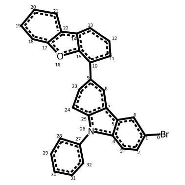 Brc1ccc2c(c1)c1cc(-c3cccc4c3oc3ccccc34)ccc1n2-c1ccccc1